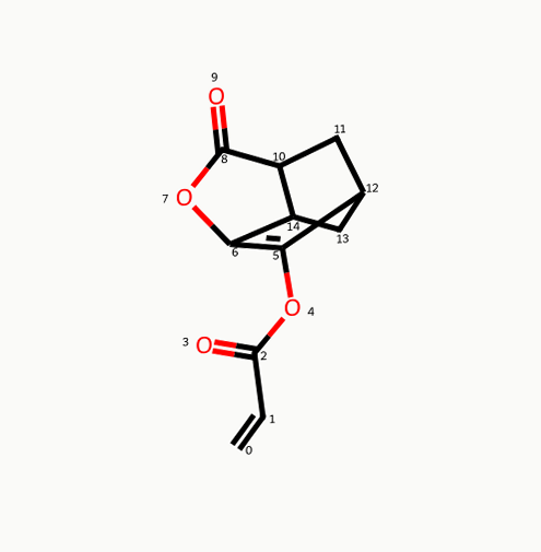 C=CC(=O)OC1=C2OC(=O)C3CC1CC23